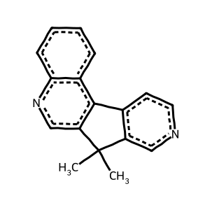 CC1(C)c2cnccc2-c2c1cnc1ccccc21